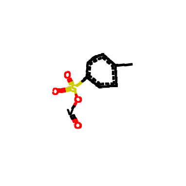 Cc1ccc(S(=O)(=O)[O][V]=[O])cc1